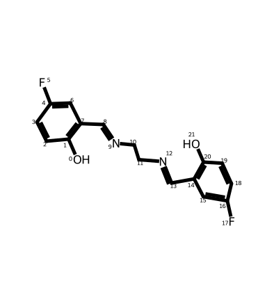 Oc1ccc(F)cc1C=NCCN=Cc1cc(F)ccc1O